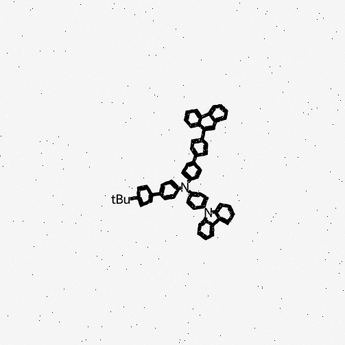 CC(C)(C)c1ccc(-c2ccc(N(c3ccc(-c4ccc(-c5cc6ccccc6c6ccccc56)cc4)cc3)c3ccc(-n4c5ccccc5c5ccccc54)cc3)cc2)cc1